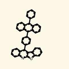 c1ccc(-c2c3ccccc3c(-c3ccc(-c4c5ccccc5nc5oc6ccccc6c45)cc3)c3ccccc23)cc1